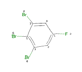 Fc1cc(Br)c(Br)c(Br)c1